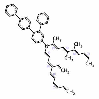 C=C\C=C/C=C/C(C=C)=C/C=C/N(/C(C)=C/C=C(C)/C(C)=C/C=C\C)c1ccc(-c2ccc(-c3ccccc3)cc2)c(-c2ccccc2)c1